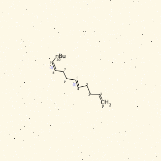 C=CCC/C=C/CC/C=C\CCCC